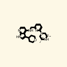 C[C@@H]1CN(c2cccc(CNc3ccnc4[nH]cc(C5CCOCC5)c34)n2)C[C@H](C)N1